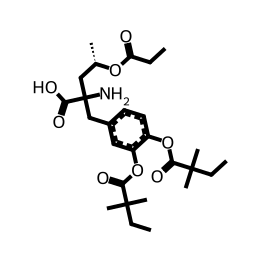 CCC(=O)O[C@@H](C)CC(N)(Cc1ccc(OC(=O)C(C)(C)CC)c(OC(=O)C(C)(C)CC)c1)C(=O)O